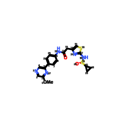 COc1cncc(-c2ccc(NC(=O)Cc3csc(N[S+]([O-])C4CC4)n3)cc2)n1